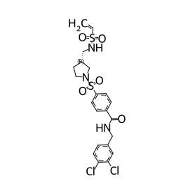 C=CS(=O)(=O)NC[C@H]1CCN(S(=O)(=O)c2ccc(C(=O)NCc3ccc(Cl)c(Cl)c3)cc2)C1